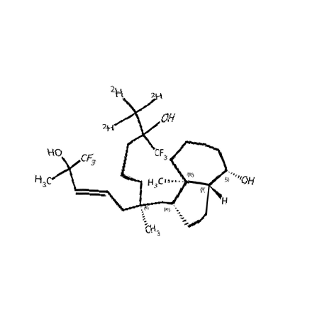 [2H]C([2H])([2H])C(O)(CCC[C@](C)(CC=CC(C)(O)C(F)(F)F)[C@H]1CC[C@H]2[C@@H](O)CCC[C@]12C)C(F)(F)F